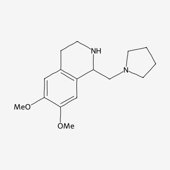 COc1cc2c(cc1OC)C(CN1CCCC1)NCC2